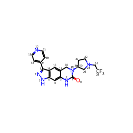 O=C1Nc2cc3[nH]nc(-c4ccncc4)c3cc2CN1[C@H]1CCN(CC(F)(F)F)C1